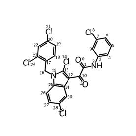 O=C(Nc1cccc(Cl)c1)C(=O)c1c(Cl)n(Cc2ccc(Cl)cc2Cl)c2ccc(Cl)cc12